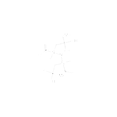 CC[N+](CC(C)(C)OC)([N][N+](CC)(CC(C)(C)OC)C(=S)[S-])C(=S)[S-]